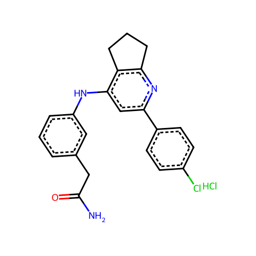 Cl.NC(=O)Cc1cccc(Nc2cc(-c3ccc(Cl)cc3)nc3c2CCC3)c1